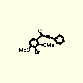 COc1ccc(C(=O)C#Cc2ccccc2)c(OC)c1Br